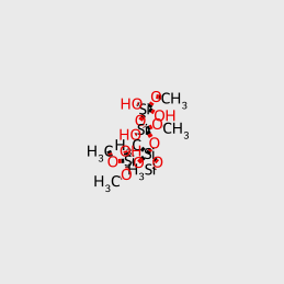 CO[Si](O)(O)O[Si@](O)(OC)O[Si](C)(O[SiH3])O[Si](O)(OC)OC